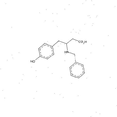 O=C(O)CC(Cc1ccc(O)cc1)NCc1ccccc1